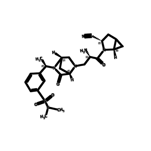 C[C@H](c1cccc(S(=O)(=O)N(C)C)c1)N1C(=O)[C@@H]2C[C@H]1CN2C[C@H](N)C(=O)N1[C@H](C#N)CC2C[C@@H]21